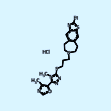 CCc1nc2cc3c(cc2s1)CCN(CCCSc1nnc(-c2ocnc2C)n1C)CC3.Cl